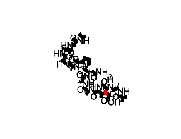 CC(C)NC(=O)CNC(=O)[C@H](C)NC(=O)[C@H](C)NC(=O)[C@H](C)NC(=O)[C@@H]1CCCN1C(=O)[C@H](CC(N)=O)NC(=O)[C@H](C)NC(=O)[C@H](C)NC(=O)C(NC(=O)[C@H](CCC(=O)O)NC(=O)[C@H](C)NC(=O)C(C)C)C(C)C